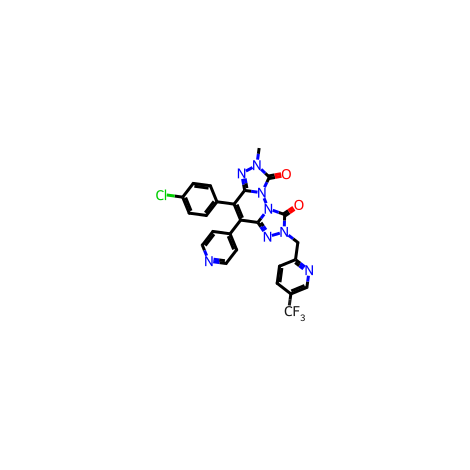 Cn1nc2c(-c3ccc(Cl)cc3)c(-c3ccncc3)c3nn(Cc4ccc(C(F)(F)F)cn4)c(=O)n3n2c1=O